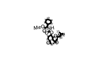 COC(=O)C(NC(=O)O[C@@H]1CC[C@]2(CO2)[C@@H]([C@@]2(C)O[C@@H]2CC=C(C)C)[C@@H]1OC)C1CCCCC1